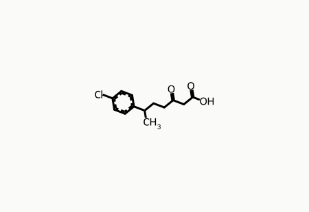 CC(CCC(=O)CC(=O)O)c1ccc(Cl)cc1